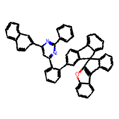 c1ccc(-c2nc(-c3ccc4ccccc4c3)cc(-c3ccccc3-c3ccc4c(c3)C3(c5ccccc5-4)c4ccccc4-c4c3oc3ccccc43)n2)cc1